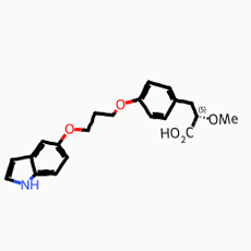 CO[C@@H](Cc1ccc(OCCCOc2ccc3[nH]ccc3c2)cc1)C(=O)O